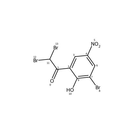 O=C(c1cc([N+](=O)[O-])cc(Br)c1O)C(Br)Br